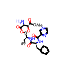 COC(=O)[C@@H]1OB([C@H](CC(C)C)NC(=O)[C@H](Cc2ccccc2)NC(=O)c2cnccn2)OC(=O)[C@H]1N